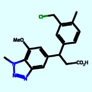 COc1cc(C(CC(=O)O)c2ccc(C)c(CCl)c2)cc2nnn(C)c12